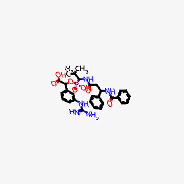 CC(C)C(NC(=O)CC(NC(=O)c1ccccc1)c1ccccc1)P(=O)(O)OC(C(=O)O)c1cccc(NC(=N)N)c1